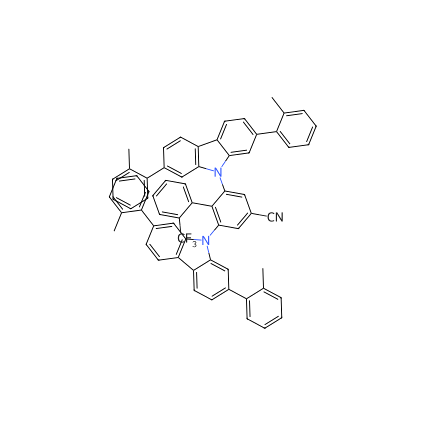 Cc1ccccc1-c1ccc2c3ccc(-c4ccccc4C)cc3n(-c3cc(C#N)cc(-n4c5cc(-c6ccccc6C)ccc5c5ccc(-c6ccccc6C)cc54)c3-c3ccccc3C(F)(F)F)c2c1